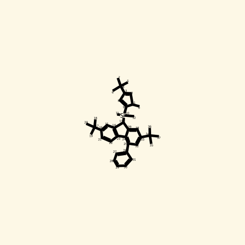 CC1C=C(C(C)(C)C)C=C1[Si](C)(C)C1c2cc(C(C)(C)C)ccc2-c2c(-c3ccccc3)cc(C(C)(C)C)cc21